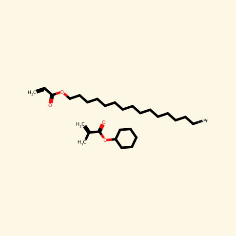 C=C(C)C(=O)OC1CCCCC1.C=CC(=O)OCCCCCCCCCCCCCCCC(C)C